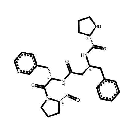 O=C[C@@H]1CCCN1C(=O)[C@H](Cc1cccnc1)NC(=O)C[C@H](Cc1ccccc1)NC(=O)[C@@H]1CCCN1